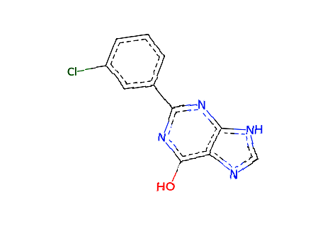 Oc1nc(-c2cccc(Cl)c2)nc2[nH]cnc12